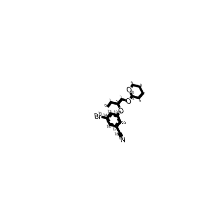 CCC(COC1CCCCO1)Oc1cc(Br)cc(C#N)c1